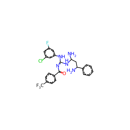 NC(CC(N)c1ccccc1)N/C(=N\C(=O)c1ccc(C(F)(F)F)cc1)Nc1cc(F)cc(Cl)c1